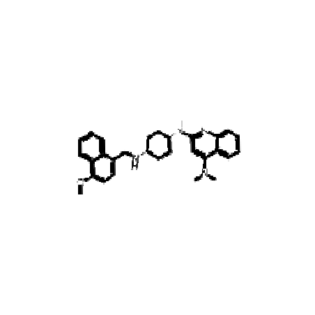 COc1ccc(CN[C@H]2CC[C@@H](Nc3cc(N(C)C)c4ccccc4n3)CC2)c2ccccc12